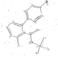 [CH2]c1cccc(-c2ccc(Br)cc2)c1C(=O)OC(C)(C)C